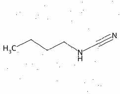 CCCCNC#N